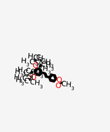 CC(=O)Oc1ccc(C=Cc2cc(O[Si](C(C)C)(C(C)C)C(C)C)cc(O[Si](C(C)C)(C(C)C)C(C)C)c2)cc1